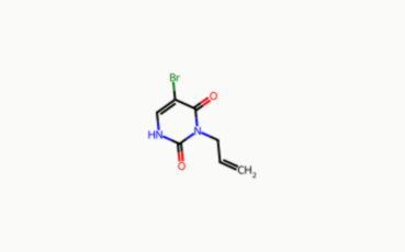 C=CCn1c(=O)[nH]cc(Br)c1=O